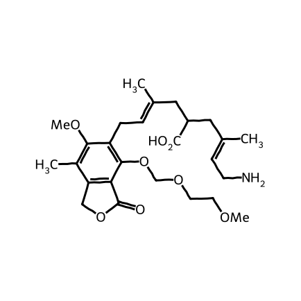 COCCOCOc1c(C/C=C(\C)CC(C/C(C)=C/CN)C(=O)O)c(OC)c(C)c2c1C(=O)OC2